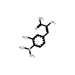 CC(=O)/C(C)=C\c1ccc(N(C)C)c(C)c1